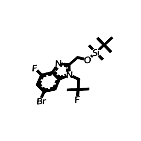 CC(C)(F)Cn1c(CO[Si](C)(C)C(C)(C)C)nc2c(F)cc(Br)cc21